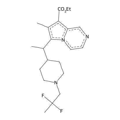 CCOC(=O)c1c(C)c(C(C)C2CCN(CC(C)(F)F)CC2)n2ccncc12